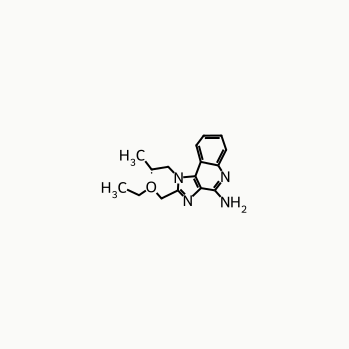 C[CH]Cn1c(COCC)nc2c(N)nc3ccccc3c21